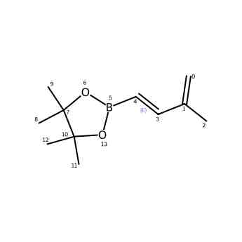 C=C(C)/C=C/B1OC(C)(C)C(C)(C)O1